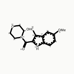 COc1ccc2[nH]c(C(=O)N3CCOCC3)c(C=O)c2c1